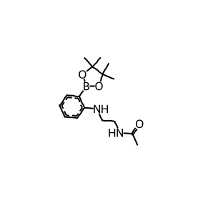 CC(=O)NCCNc1ccccc1B1OC(C)(C)C(C)(C)O1